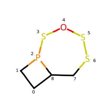 C1CP2SOSSCC12